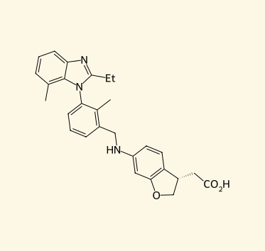 CCc1nc2cccc(C)c2n1-c1cccc(CNc2ccc3c(c2)OC[C@H]3CC(=O)O)c1C